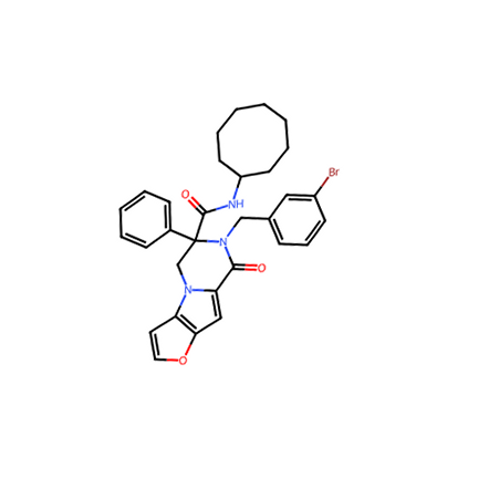 O=C1c2cc3occc3n2CC(C(=O)NC2CCCCCCC2)(c2ccccc2)N1Cc1cccc(Br)c1